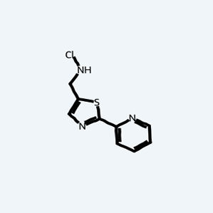 ClNCc1cnc(-c2ccccn2)s1